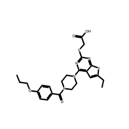 CCCOc1ccc(C(=O)N2CCN(c3nc(SCC(=O)O)nc4sc(CC)cc34)CC2)cc1